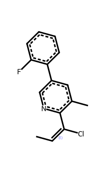 C/C=C(/Cl)c1ncc(-c2ccccc2F)cc1C